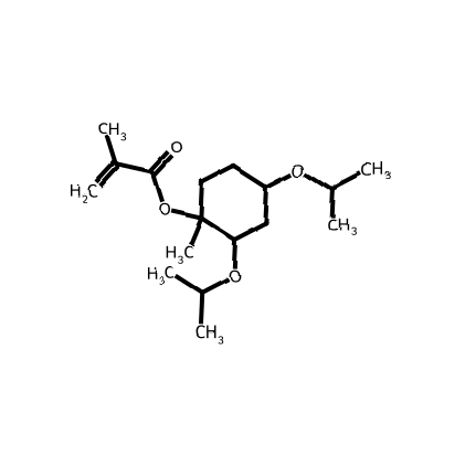 C=C(C)C(=O)OC1(C)CCC(OC(C)C)CC1OC(C)C